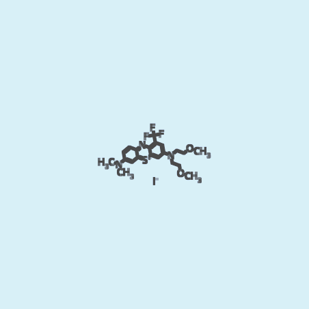 COCCN(CCOC)c1cc(C(F)(F)F)c2nc3ccc(N(C)C)cc3[s+]c2c1.[I-]